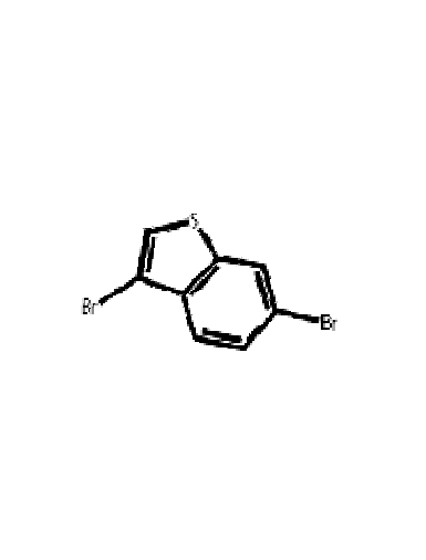 Brc1ccc2c(Br)csc2c1